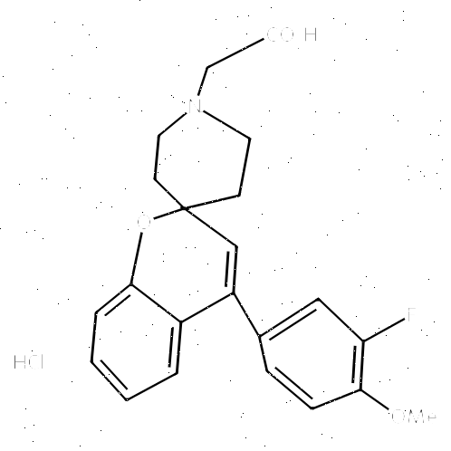 COc1ccc(C2=CC3(CCN(CC(=O)O)CC3)Oc3ccccc32)cc1F.Cl